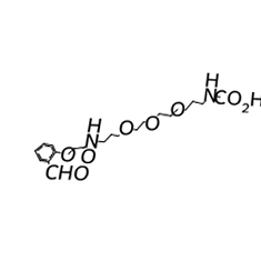 O=Cc1ccccc1OCC(=O)NCCCOCCOCCOCCCNC(=O)O